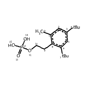 Cc1cc(C(C)(C)C)cc(C(C)(C)C)c1CCOP(=O)(O)O